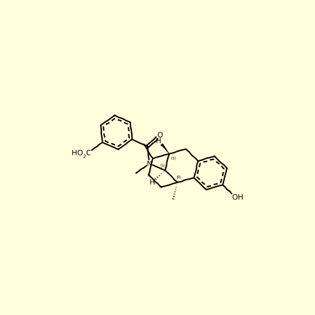 CC1CC[C@]2(C)c3cc(O)ccc3C[C@@H]1[C@@H]2N(C)C(=O)c1cccc(C(=O)O)c1